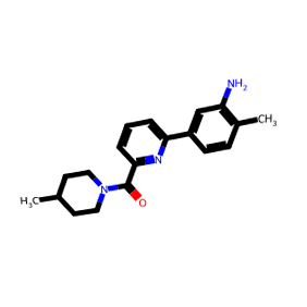 Cc1ccc(-c2cccc(C(=O)N3CCC(C)CC3)n2)cc1N